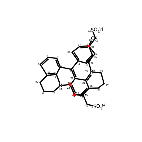 N#Cc1ccc(C(c2cccc3c2N(CCCCS(=O)(=O)O)CCC3)=c2cccc3c2=[N+](CCCCS(=O)(=O)O)CCC3)cc1